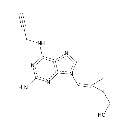 C#CCNc1nc(N)nc2c1ncn2C=C1CC1CO